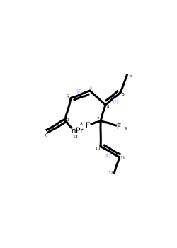 C=C(/C=C\C(=C/C)C(F)(F)/C=C/C)CCC